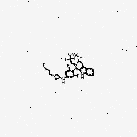 COC(F)(F)CN1C(C)Cc2c([nH]c3ccccc23)[C@H]1c1c(F)cc(NC2CN(CCCF)C2)cc1F